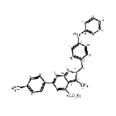 CCOC(=O)c1cc(-c2ccc(C)cc2)nc2nn(Cc3ccc(Oc4ccccc4)cc3)c(C)c12